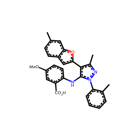 COc1ccc(Nc2c(-c3cc4ccc(C)cc4o3)c(C)nn2-c2ccccc2C)c(C(=O)O)c1